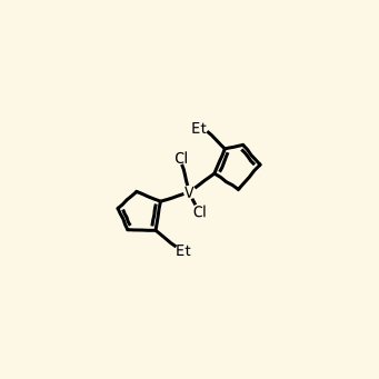 CCC1=[C]([V]([Cl])([Cl])[C]2=C(CC)C=CC2)CC=C1